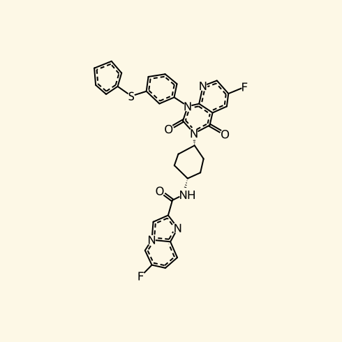 O=C(N[C@H]1CC[C@@H](n2c(=O)c3cc(F)cnc3n(-c3cccc(Sc4ccccc4)c3)c2=O)CC1)c1cn2cc(F)ccc2n1